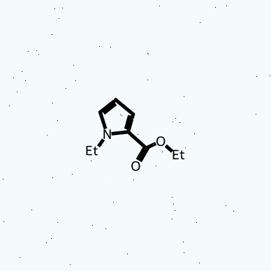 CCOC(=O)c1cccn1CC